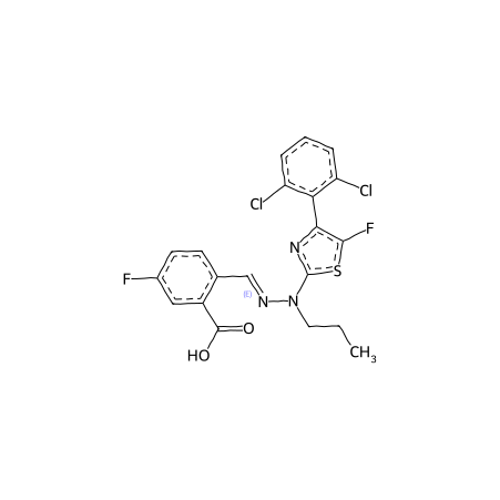 CCCN(/N=C/c1ccc(F)cc1C(=O)O)c1nc(-c2c(Cl)cccc2Cl)c(F)s1